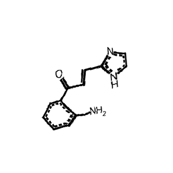 Nc1ccccc1C(=O)/C=C/c1ncc[nH]1